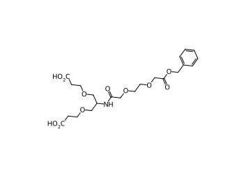 O=C(O)CCOCC(COCCC(=O)O)NC(=O)COCCOCC(=O)OCc1ccccc1